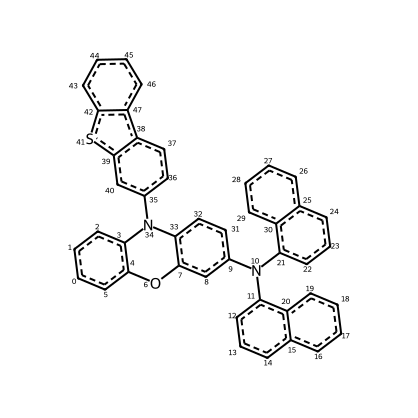 c1ccc2c(c1)Oc1cc(N(c3cccc4ccccc34)c3cccc4ccccc34)ccc1N2c1ccc2c(c1)sc1ccccc12